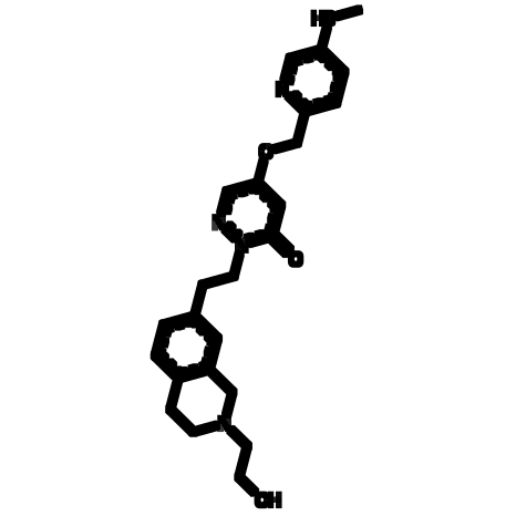 CBc1ccc(COc2cnn(CCc3ccc4c(c3)CN(CCO)CC4)c(=O)c2)nc1